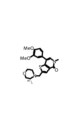 COc1ccc(-c2cn(C)c(=O)c3cc(CN4CCOC[C@H]4C)sc23)cc1OC